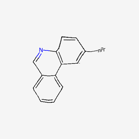 CCCc1[c]c2c(cc1)ncc1ccccc12